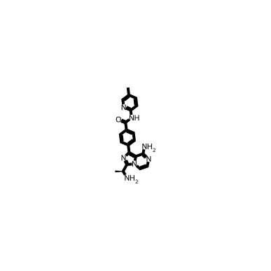 Cc1ccc(NC(=O)c2ccc(-c3nc([C@H](C)N)n4ccnc(N)c34)cc2)nc1